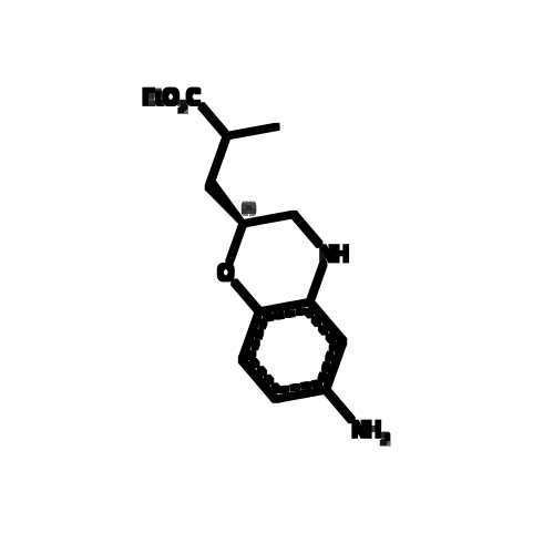 CCOC(=O)C(C)C[C@H]1CNc2cc(N)ccc2O1